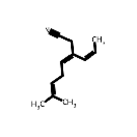 C/C=C\C(=C/CC=C(C)C)CC#N